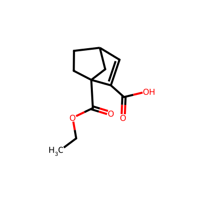 CCOC(=O)C12CCC(C=C1C(=O)O)C2